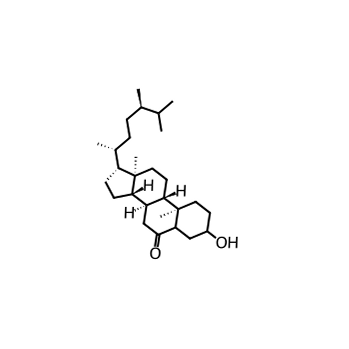 CC(C)[C@H](C)CC[C@@H](C)[C@H]1CC[C@H]2[C@@H]3CC(=O)C4CC(O)CC[C@]4(C)[C@H]3CC[C@]12C